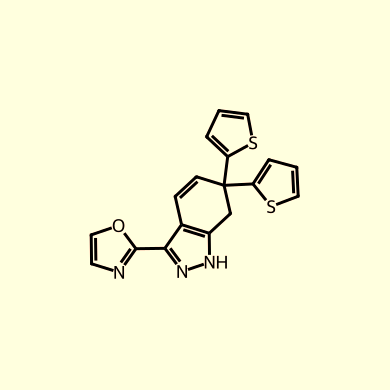 C1=CC(c2cccs2)(c2cccs2)Cc2[nH]nc(-c3ncco3)c21